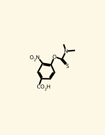 CN(C)C(=S)Oc1ccc(C(=O)O)cc1[N+](=O)[O-]